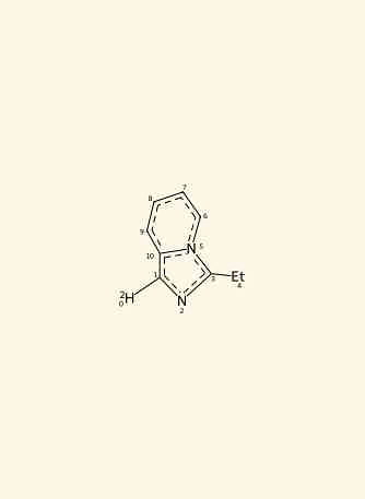 [2H]c1nc(CC)n2ccccc12